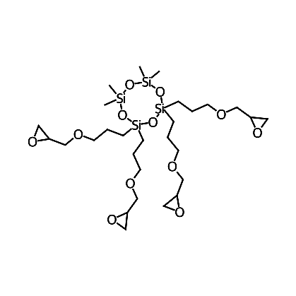 C[Si]1(C)O[Si](C)(C)O[Si](CCCOCC2CO2)(CCCOCC2CO2)O[Si](CCCOCC2CO2)(CCCOCC2CO2)O1